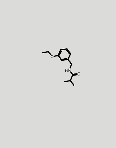 CCOc1cccc(CNC(=O)C(C)C)c1